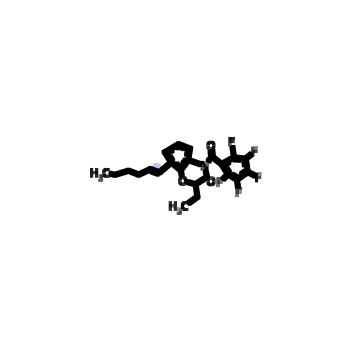 CCCC/C=C/c1cccc2c1OC(CC)C(=O)N2C(=O)c1c(F)c(F)c(F)c(F)c1F